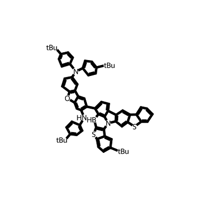 CC(C)(C)c1ccc(Nc2cc3oc4ccc(N(c5ccc(C(C)(C)C)cc5)c5ccc(C(C)(C)C)cc5)cc4c3cc2-c2ccc3c4cc5c(cc4n4c3c2Bc2sc3ccc(C(C)(C)C)cc3c2-4)sc2ccccc25)cc1